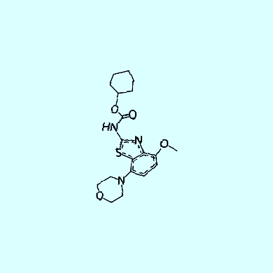 COc1ccc(N2CCOCC2)c2sc(NC(=O)OC3CCCCC3)nc12